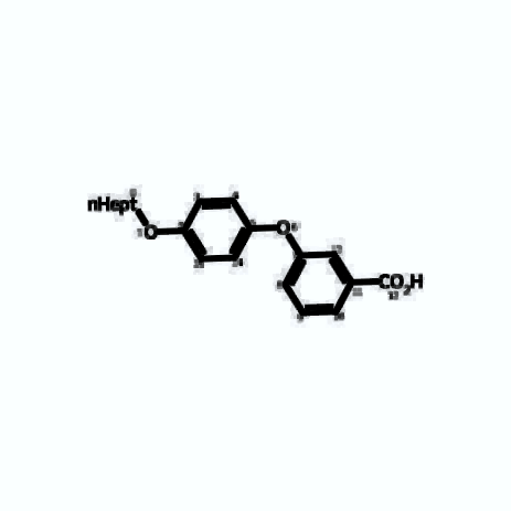 CCCCCCCOc1ccc(Oc2cccc(C(=O)O)c2)cc1